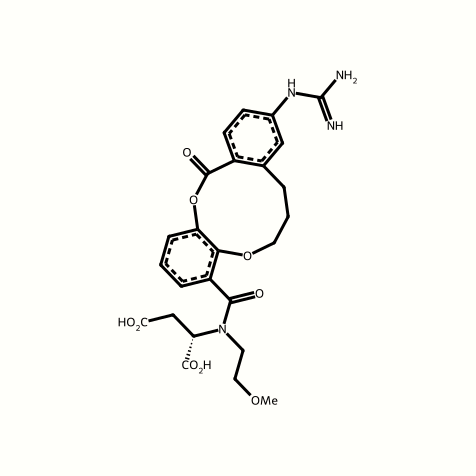 COCCN(C(=O)c1cccc2c1OCCCc1cc(NC(=N)N)ccc1C(=O)O2)[C@@H](CC(=O)O)C(=O)O